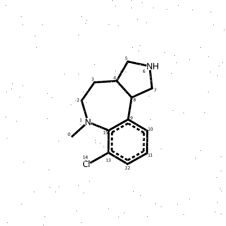 CN1CCC2CNCC2c2cccc(Cl)c21